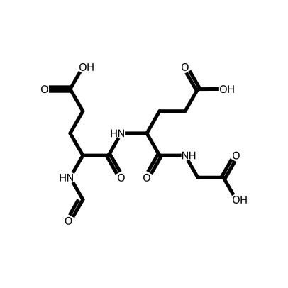 O=CNC(CCC(=O)O)C(=O)NC(CCC(=O)O)C(=O)NCC(=O)O